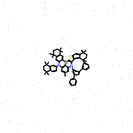 Cc1cc2c3c(c1)N1c4cc(-c5ccccc5)cc(c4)-c4cccc(c4)C4(C)CCC(C)(C)c5cc6sc(c1c6cc54)B3c1cc3c(cc1N2c1ccc2c(c1)C(C)(C)CCC2(C)C)C(C)(C)CCC3(C)C